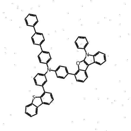 c1ccc(-c2ccc(-c3ccc(N(c4ccc(-c5cccc6c5oc5c6c6ccccc6n5-c5ccccc5)cc4)c4cccc(-c5cccc6c5sc5ccccc56)c4)cc3)cc2)cc1